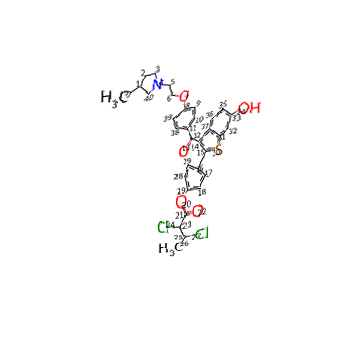 CC1CCN(CCOc2ccc(C(=O)c3c(-c4ccc(OC(=O)C(Cl)C(C)Cl)cc4)sc4cc(O)ccc34)cc2)C1